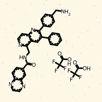 NCc1ccc(-c2nc3ccnc(CNC(=O)c4ccc5nccnc5c4)c3cc2-c2ccccc2)cc1.O=C(O)C(F)(F)F.O=C(O)C(F)(F)F